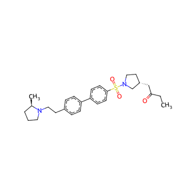 CCC(=O)C[C@H]1CCN(S(=O)(=O)c2ccc(-c3ccc(CCN4CCC[C@H]4C)cc3)cc2)C1